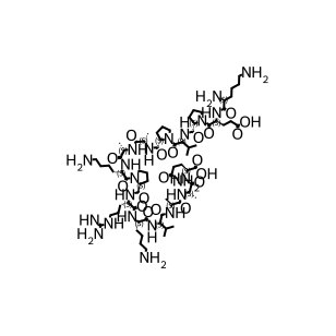 CC(C)[C@H](NC(=O)[C@H](CCCCN)NC(=O)[C@H](CCCNC(=N)N)NC(=O)[C@@H]1CCCN1C(=O)[C@H](CCCCN)NC(=O)[C@H](C)NC(=O)[C@H](C)NC(=O)[C@@H]1CCCN1C(=O)[C@@H](NC(=O)[C@@H]1CCCN1C(=O)[C@H](CCC(=O)O)NC(=O)[C@@H](N)CCCCN)C(C)C)C(=O)N[C@@H](C)C(=O)N[C@@H](C)C(=O)N[C@@H](CCC(N)=O)C(=O)O